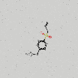 C=CCS(=O)(=O)c1ccc(CC(=O)OCC)cc1